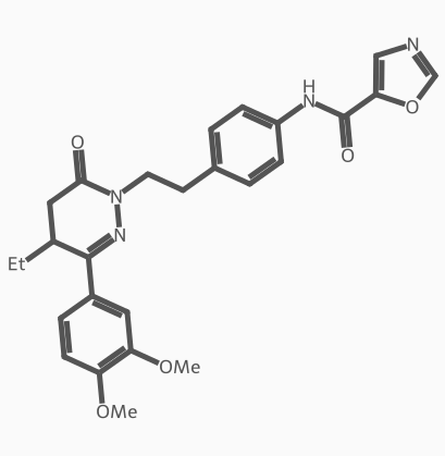 CCC1CC(=O)N(CCc2ccc(NC(=O)c3cnco3)cc2)N=C1c1ccc(OC)c(OC)c1